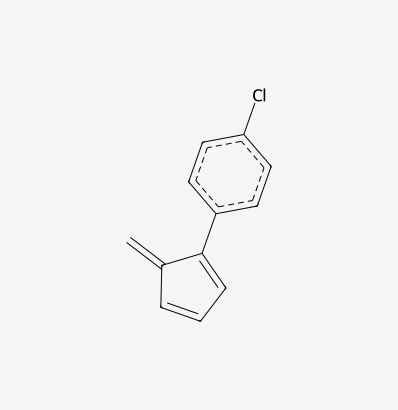 C=C1C=CC=C1c1ccc(Cl)cc1